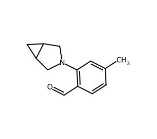 Cc1ccc(C=O)c(N2CC3CC3C2)c1